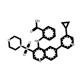 O=C(O)c1ccccc1Nc1c(S(=O)(=O)N2CCOCC2)cnc2ccc(-c3cncc(C4CC4)c3)cc12